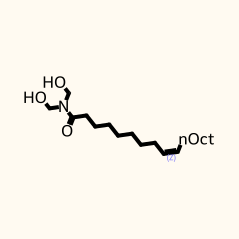 CCCCCCCC/C=C\CCCCCCCC(=O)N(CO)CO